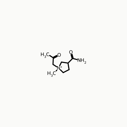 CC(=O)C[N+]1(C)CCC(C(N)=O)C1